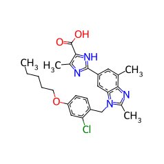 CCCCCOc1ccc(Cn2c(C)nc3c(C)cc(-c4nc(C)c(C(=O)O)[nH]4)cc32)c(Cl)c1